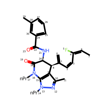 C=C(/C=C\C(F)=C/C)[C@H]1c2c(C)nn(CCC)c2N(CCC)C(=O)[C@H]1NC(=O)c1cccc(C)c1